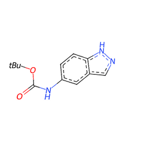 CC(C)(C)OC(=O)Nc1ccc2[nH]ncc2c1